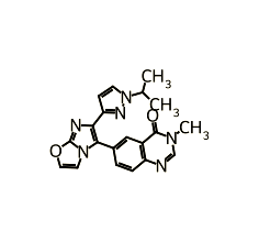 CC(C)n1ccc(-c2nc3occn3c2-c2ccc3ncn(C)c(=O)c3c2)n1